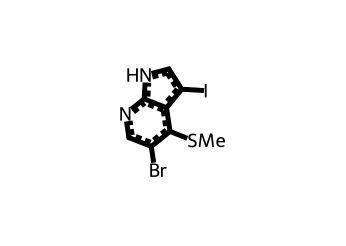 CSc1c(Br)cnc2[nH]cc(I)c12